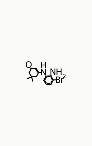 CC1(C)CC(=O)C=C(Nc2cccc(Br)c2N)C1